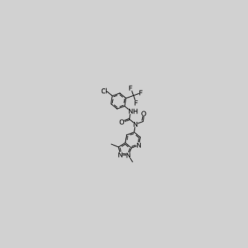 Cc1nn(C)c2ncc(N(C=O)C(=O)Nc3ccc(Cl)cc3C(F)(F)F)cc12